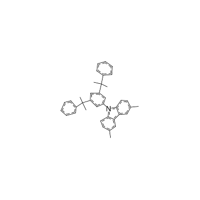 Cc1ccc2c(c1)c1cc(C)ccc1n2-c1cc(C(C)(C)c2ccccc2)cc(C(C)(C)c2ccccc2)c1